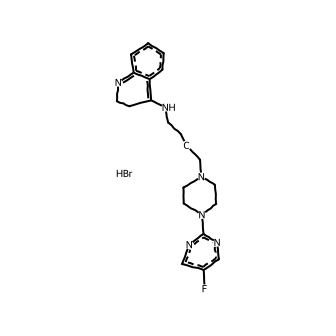 Br.Fc1cnc(N2CCN(CCCCNC3=c4ccccc4=NCC3)CC2)nc1